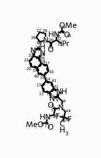 COC(=O)NCC(=O)N(Cc1nc2ccc(-c3ccc4c(ccc5nc([C@@H]6CCCN6C(=O)C(NC(=O)OC)C(C)C)[nH]c54)c3)cc2[nH]1)CC(C)(F)F